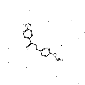 CCCCOc1ccc(C=CC(=S)c2ccc(CCC)cc2)cc1